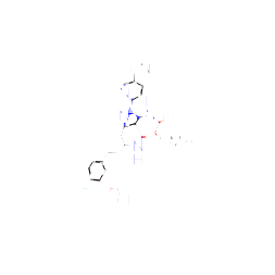 CSCC(=O)Nc1c2c(nn1-c1ccc(C#N)cn1)CC(CCc1ccc(F)c(OCC(F)(F)F)c1)NC2=O